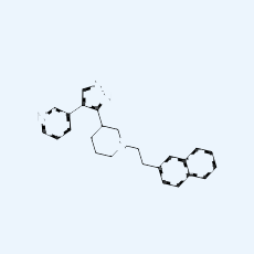 c1cncc(-c2c[nH]nc2C2CCCN(CCc3ccc4ccccc4c3)C2)c1